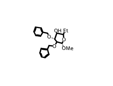 CCC1O[C@H](OC)C(OCc2ccccc2)[C@H](OCc2ccccc2)[C@@H]1O